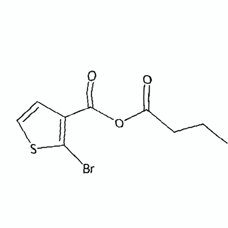 CCCC(=O)OC(=O)c1ccsc1Br